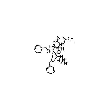 CC1=CN2C(=NC1)O[C@@H]1[C@H]2O[C@@](COCc2ccccc2)(C(C)N=[N+]=[N-])[C@H]1OCc1ccccc1